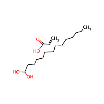 C=CC(=O)O.CCCCCCCCCCCCCC(O)O